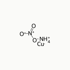 O=[N+]([O-])[O-].[Cu].[NH4+]